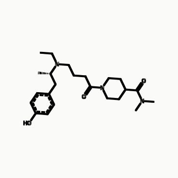 CCN(CCCC(=O)N1CCC(C(=O)N(C)C)CC1)[C@@H](C)Cc1ccc(O)cc1